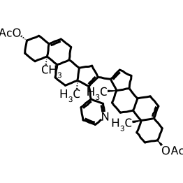 CC(=O)O[C@H]1CC[C@@]2(C)C(=CCC3C2CC[C@]2(C)C(C4=C(c5cccnc5)[C@@]5(C)CCC6C(CC=C7C[C@@H](OC(C)=O)CC[C@@]76C)C5C4)=CCC32)C1